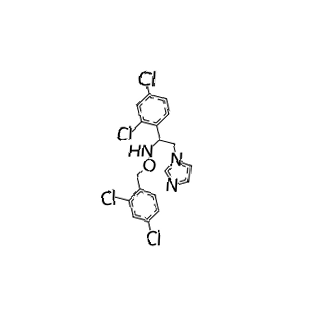 Clc1ccc(CONC(Cn2ccnc2)c2ccc(Cl)cc2Cl)c(Cl)c1